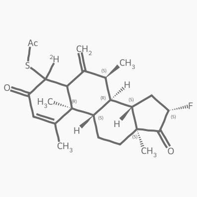 [2H]C1(SC(C)=O)C(=O)C=C(C)[C@@]2(C)C1C(=C)[C@@H](C)[C@@H]1[C@@H]2CC[C@]2(C)C(=O)[C@@H](F)C[C@@H]12